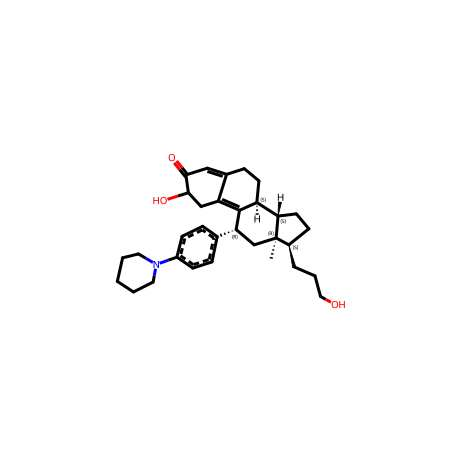 C[C@]12C[C@H](c3ccc(N4CCCCC4)cc3)C3=C4CC(O)C(=O)C=C4CC[C@H]3[C@@H]1CC[C@H]2CCCO